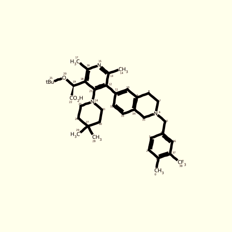 Cc1ccc(CN2CCc3cc(-c4c(C)nc(C)c([C@H](OC(C)(C)C)C(=O)O)c4N4CCC(C)(C)CC4)ccc3C2)cc1C(F)(F)F